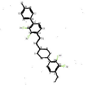 CCc1ccc(C2CCC(CCc3ccc(-c4ccc(C)cc4)c(F)c3F)CC2)c(F)c1F